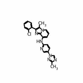 Cc1ncn(-c2ccc(Nc3cccn4c(C)c(-c5ccccc5Cl)nc34)nc2)n1